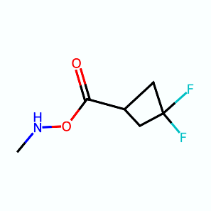 CNOC(=O)C1CC(F)(F)C1